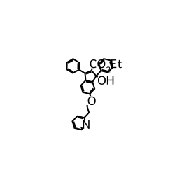 CCOC(=O)C1=C(c2ccccc2)c2ccc(OCCc3ccccn3)cc2C1(O)c1ccccc1